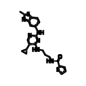 Cc1nc2cc(Nc3ncc(C4CC4)c(NCCCNC(=O)c4cccs4)n3)ccc2s1